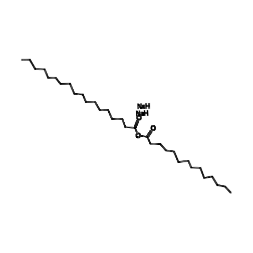 CCCCCCCCCCCCCCCCCC(=O)OC(=O)CCCCCCCCCCCCC.[NaH].[NaH]